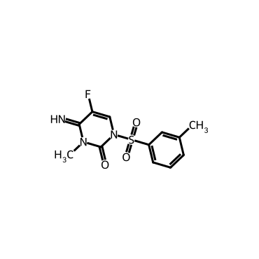 Cc1cccc(S(=O)(=O)n2cc(F)c(=N)n(C)c2=O)c1